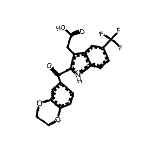 O=C(O)Cc1c(C(=O)c2ccc3c(c2)OCCO3)[nH]c2ccc(C(F)(F)F)cc12